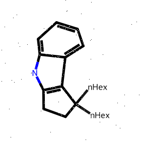 CCCCCCC1(CCCCCC)CCC2=C1c1ccccc1[N]2